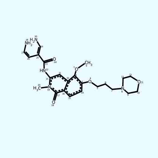 COc1c(OCCCN2CCOCC2)ccc2c(=O)n(C)c(NC(=O)C(/C=C\N)=C/N)cc12